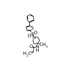 C=CC(=O)NC1(C)CCN(S(=O)(=O)c2ccc(-c3ccccc3)s2)CC1